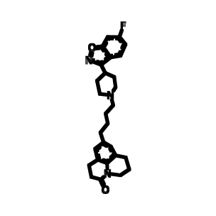 O=C1CCc2cc(CCCCN3CCC(c4noc5cc(F)ccc45)CC3)cc3c2N1CCC3